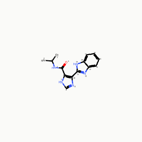 CCCC(CC)NC(=O)c1[nH]cnc1-c1nc2ccccc2[nH]1